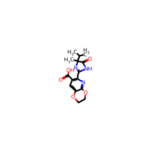 CC(C)C1(C)N=C(c2nc3c(cc2C(=O)O)OCCO3)NC1=O